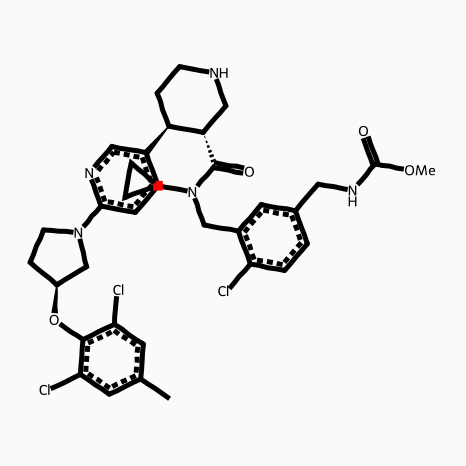 COC(=O)NCc1ccc(Cl)c(CN(C(=O)[C@H]2CNCC[C@@H]2c2ccc(N3CC[C@H](Oc4c(Cl)cc(C)cc4Cl)C3)nc2)C2CC2)c1